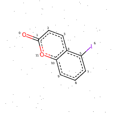 O=c1ccc2c(I)cccc2o1